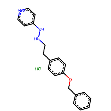 Cl.c1ccc(COc2ccc(CCNNc3ccncc3)cc2)cc1